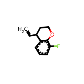 C=CC1CCOc2c(F)cccc21